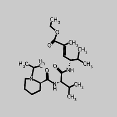 CCOC(=O)/C(C)=C/[C@@H](NC(=O)[C@@H](NC(=O)[C@H]1CCCCN1C(C)C)C(C)C)C(C)C